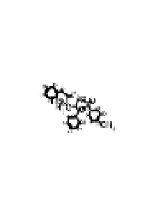 Cc1ccc(S(=O)(=O)O[C@@H](C[C@@H](N)Cc2ccccc2)[C@@H](C)Cc2ccccc2)cc1